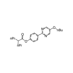 CCCCOc1cnc(-c2ccc(OC(=O)C(CCC)CCC)cc2)nc1